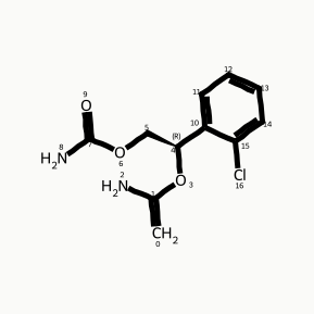 C=C(N)O[C@@H](COC(N)=O)c1ccccc1Cl